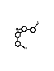 N#Cc1cccc(-c2ccc3[nH]c4ccc(-c5cccc(C#N)c5)cc4c3c2)c1